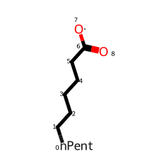 CCCCCCCCCCC([O])=O